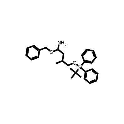 CC(CO[Si](c1ccccc1)(c1ccccc1)C(C)(C)C)CC(N)SCc1ccccc1